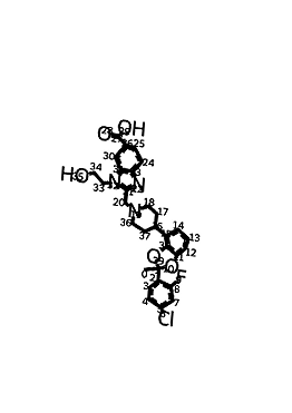 CC1(c2ccc(Cl)cc2F)Oc2cccc(C3CCN(Cc4nc5ccc(C(=O)O)cc5n4CCO)CC3)c2O1